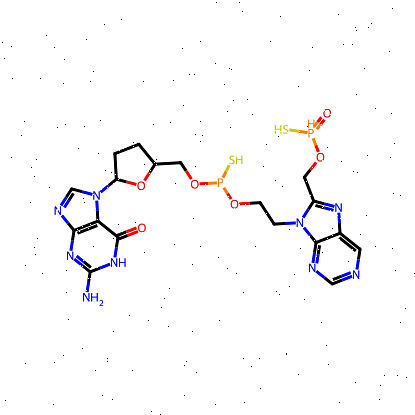 Nc1nc2ncn(C3CCC(COP(S)OCCn4c(CO[PH](=O)S)nc5cncnc54)O3)c2c(=O)[nH]1